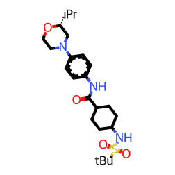 CC(C)[C@@H]1CN(c2ccc(NC(=O)C3CCC(NS(=O)(=O)C(C)(C)C)CC3)cc2)CCO1